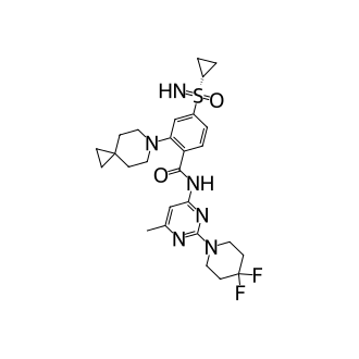 Cc1cc(NC(=O)c2ccc([S@@](=N)(=O)C3CC3)cc2N2CCC3(CC2)CC3)nc(N2CCC(F)(F)CC2)n1